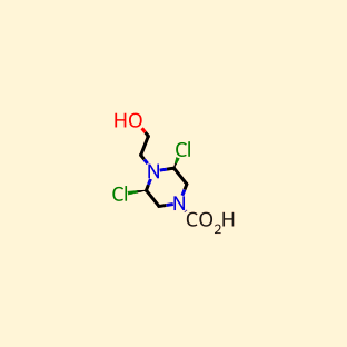 O=C(O)N1C[C@@H](Cl)N(CCO)[C@@H](Cl)C1